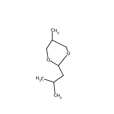 CC(C)CC1OCC(C)CO1